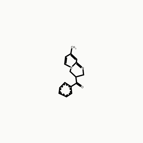 CC1=CC2=NCC(C(=O)c3ccccc3)CN2C=C1